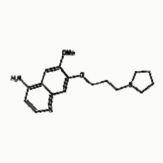 COc1cc2c(N)ccnc2cc1OCCCN1CCCC1